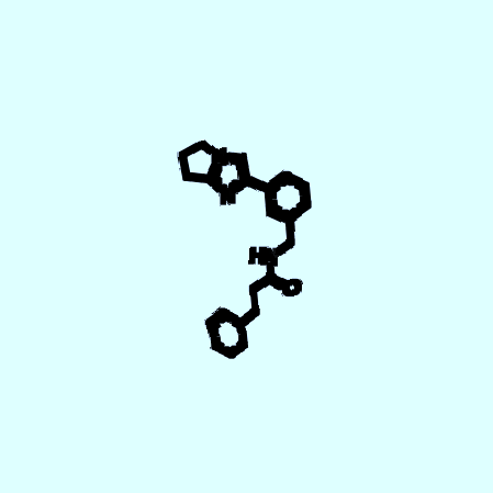 O=C(CCc1ccccc1)NCc1cccc(-c2cn3c(n2)CCC3)c1